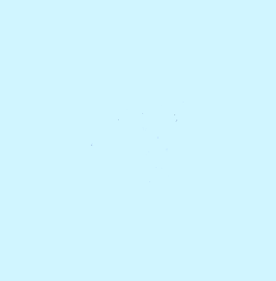 CCC(CC1CCCC1)OC(CC(C)(C)C)C(C)(C)C